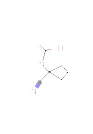 CC(O)NC1(C#N)CCC1